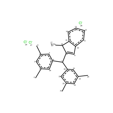 Cc1cc(C)cc(C(C2=Cc3ccccc3[CH]2[Ti+3])c2cc(C)cc(C)c2)c1.[Cl-].[Cl-].[Cl-]